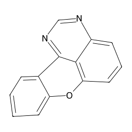 c1ccc2c(c1)Oc1cccc3ncnc-2c13